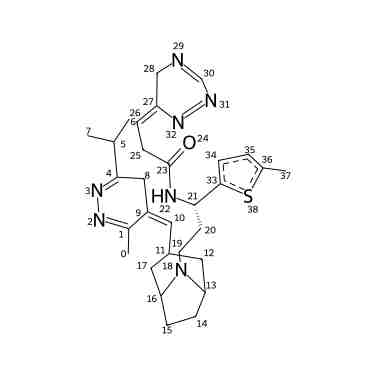 CC1=NN=C(C(C)C)C/C1=C/C1CC2CCC(C1)N2CC[C@H](NC(=O)C/C=C1/CN=CN=N1)c1ccc(C)s1